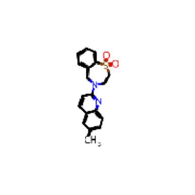 Cc1ccc2nc(N3CCS(=O)(=O)c4ccccc4C3)c[c]c2c1